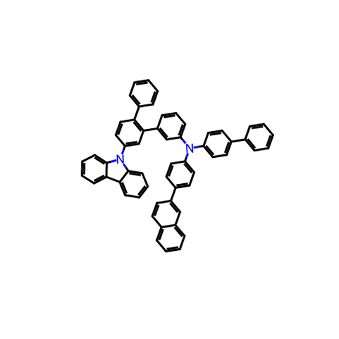 c1ccc(-c2ccc(N(c3ccc(-c4ccc5ccccc5c4)cc3)c3cccc(-c4cc(-n5c6ccccc6c6ccccc65)ccc4-c4ccccc4)c3)cc2)cc1